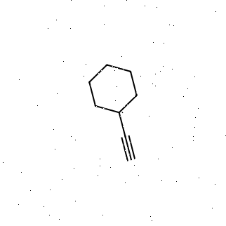 C#C[C]1CCCCC1